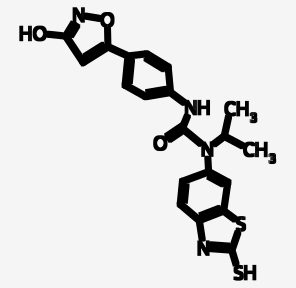 CC(C)N(C(=O)Nc1ccc(-c2cc(O)no2)cc1)c1ccc2nc(S)sc2c1